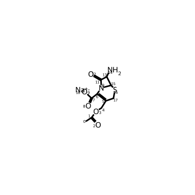 CC(=O)OCC1=C(C(=O)[O-])N2C(=O)C(N)C2SC1.[Na+]